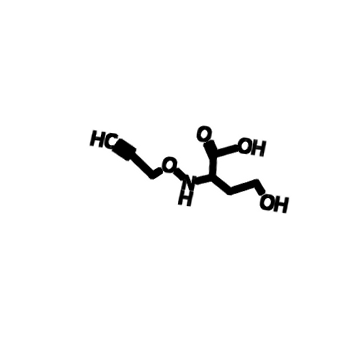 C#CCONC(CCO)C(=O)O